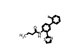 CCCC(=O)Nc1ccc(-c2ccccc2I)cc1-c1nccs1